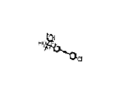 CC(C)(C)C(O)(c1cncnc1)C(F)(F)c1ccc(C#Cc2ccc(Cl)cc2)cn1